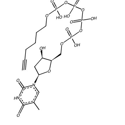 C#CCCCCOP(=O)(O)OP(=O)(O)OP(=O)(O)OP(=O)(O)OC[C@H]1O[C@@H](n2cc(C)c(=O)[nH]c2=O)C[C@H]1O